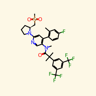 Cc1cc(F)ccc1-c1cc(N2CCC[C@H]2CS(C)(=O)=O)ncc1N(C)C(=O)C(C)(C)c1cc(C(F)(F)F)cc(C(F)(F)F)c1